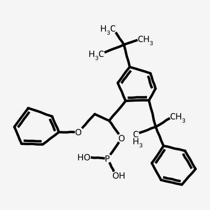 CC(C)(C)c1ccc(C(C)(C)c2ccccc2)c(C(COc2ccccc2)OP(O)O)c1